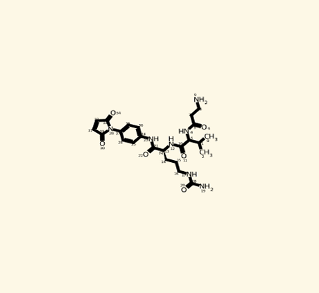 CC(C)C(NC(=O)CCN)C(=O)N[C@@H](CCCNC(N)=O)C(=O)Nc1ccc(N2C(=O)C=CC2=O)cc1